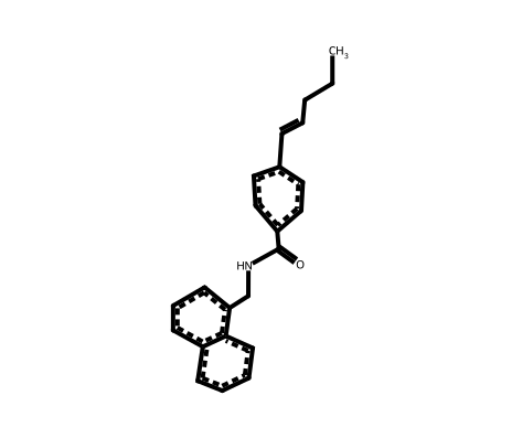 CCC/C=C/c1ccc(C(=O)NCc2cccc3ccccc23)cc1